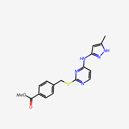 COC(=O)c1ccc(CSc2nccc(Nc3cc(C)[nH]n3)n2)cc1